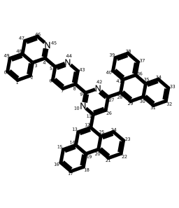 c1ccc2c(-c3ccc(-c4nc(-c5cc6ccccc6c6ccccc56)cc(-c5cc6ccccc6c6ccccc56)n4)cn3)nccc2c1